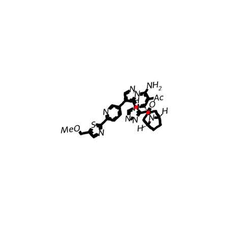 COCc1cnc(-c2ccc(-c3cnn4c(N)c(C(C)=O)c([C@@H]5C[C@H]6CC[C@@H](C5)N6C(=O)c5nnc[nH]5)nc34)cn2)s1